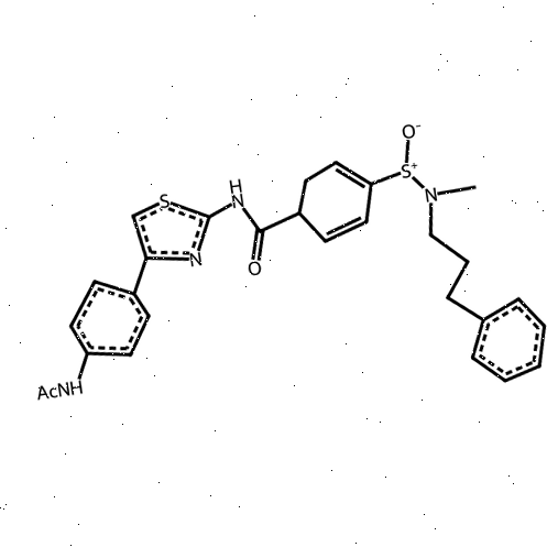 CC(=O)Nc1ccc(-c2csc(NC(=O)C3C=CC([S+]([O-])N(C)CCCc4ccccc4)=CC3)n2)cc1